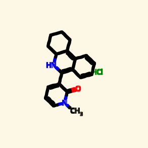 Cl.Cn1cccc(C2=c3ccccc3=C3CCCCC3N2)c1=O